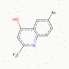 CC(=O)c1ccc2nc(C(F)(F)F)cc(O)c2c1